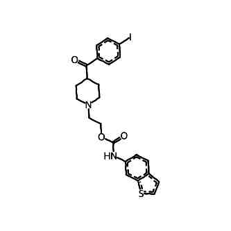 O=C(Nc1ccc2ccsc2c1)OCCN1CCC(C(=O)c2ccc(I)cc2)CC1